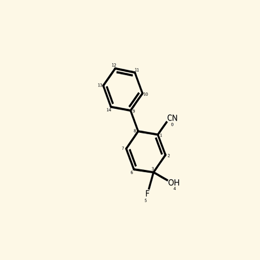 N#CC1=CC(O)(F)C=CC1c1ccccc1